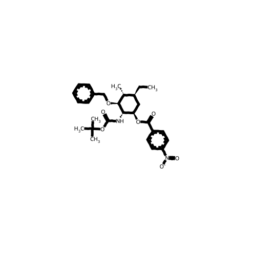 CC[C@H]1C[C@@H](OC(=O)c2ccc([N+](=O)[O-])cc2)[C@H](NC(=O)OC(C)(C)C)[C@@H](OCc2ccccc2)[C@@H]1C